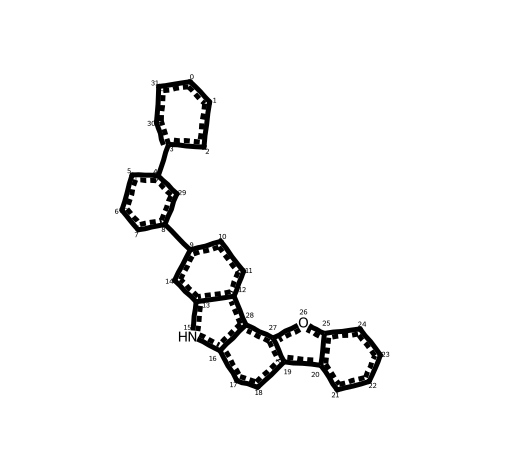 c1ccc(-c2cccc(-c3ccc4c(c3)[nH]c3ccc5c6ccccc6oc5c34)c2)cc1